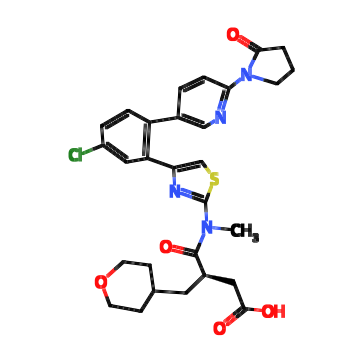 CN(C(=O)[C@@H](CC(=O)O)CC1CCOCC1)c1nc(-c2cc(Cl)ccc2-c2ccc(N3CCCC3=O)nc2)cs1